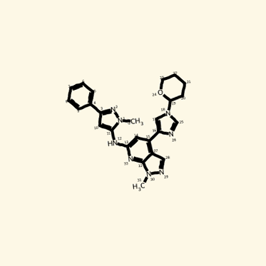 Cn1nc(-c2ccccc2)cc1Nc1cc(-c2cn(C3CCCCO3)cn2)c2cnn(C)c2n1